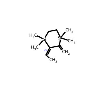 C=C1/C(=C\C)[Si](C)(C)CC[Si]1(C)C